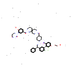 COCCOc1ccc(C(N)=O)c(-c2cc(C(CNC3CCC(C(=O)N4CCC5(CCCN(C(=O)c6ccc(OC)c(N7CCC(=O)NC7=O)c6)C5)CC4)CC3)c3ccccc3)ccc2Cl)c1F